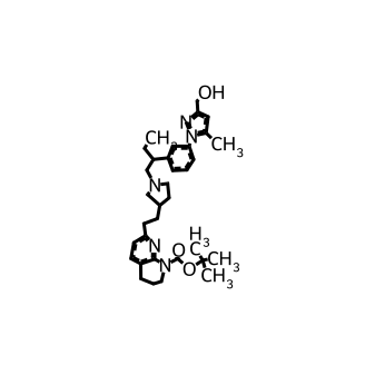 CCC(CN1CCC(CCc2ccc3c(n2)N(C(=O)OC(C)(C)C)CCC3)C1)c1cccc(-n2nc(CO)cc2C)c1